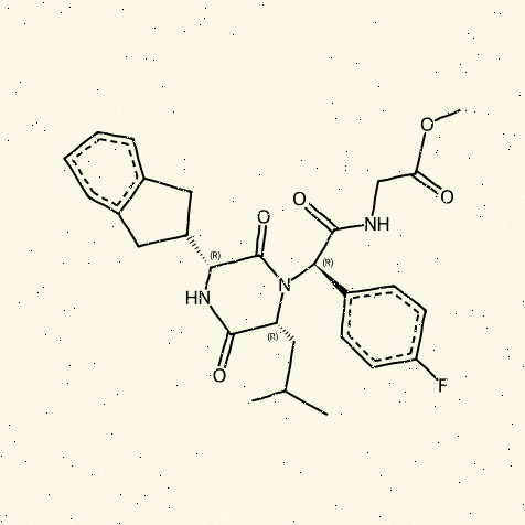 COC(=O)CNC(=O)[C@@H](c1ccc(F)cc1)N1C(=O)[C@@H](C2Cc3ccccc3C2)NC(=O)[C@H]1CC(C)C